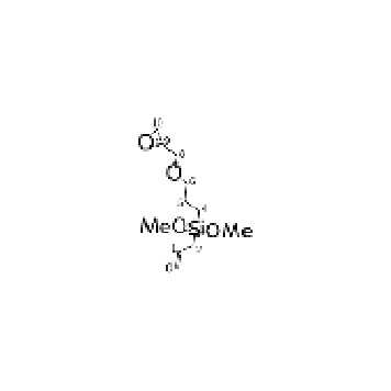 C=CC[Si](CCCOCC1CO1)(OC)OC